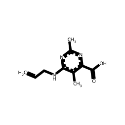 C=CCNc1nc(C)nc(C(=O)O)c1C